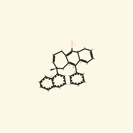 BC1=C2CC=C[C@@](C)(c3cccc4ccccc34)CC2=C(c2ccccc2)C2=CC=CCC21